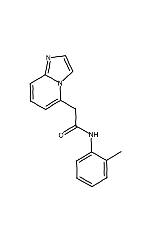 Cc1ccccc1NC(=O)Cc1cccc2nccn12